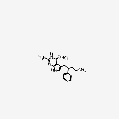 Cl.NCCC(Cc1c[nH]c2nc(N)[nH]c(=O)c12)c1ccccc1